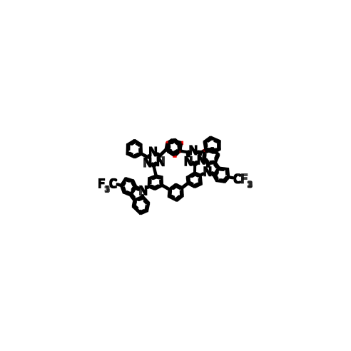 FC(F)(F)c1ccc2c(c1)c1ccccc1n2-c1cc(-c2cccc(-c3ccc(-n4c5ccccc5c5cc(C(F)(F)F)ccc54)c(-c4nc(-c5ccccc5)nc(-c5ccccc5)n4)c3)c2)cc(-c2nc(-c3ccccc3)nc(-c3ccccc3)n2)c1